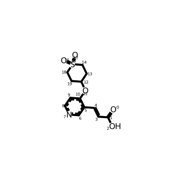 O=C(O)/C=C/c1cnccc1OC1CCS(=O)(=O)CC1